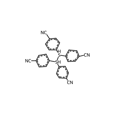 N#Cc1ccc([SH](c2ccc(C#N)cc2)[SH](c2ccc(C#N)cc2)c2ccc(C#N)cc2)cc1